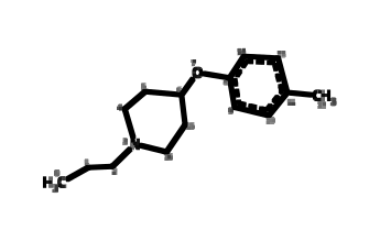 CCCN1CCC(Oc2ccc(C)cc2)CC1